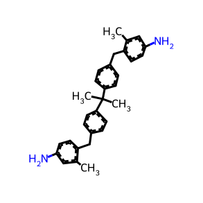 Cc1cc(N)ccc1Cc1ccc(C(C)(C)c2ccc(Cc3ccc(N)cc3C)cc2)cc1